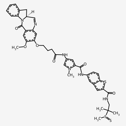 COc1cc2c(cc1OCCCC(=O)Nc1cc(C(=O)Nc3ccc4sc(C(=O)NCC(C)(C)S(C)=S)cc4c3)n(C)c1)N=C[C@@H]1Cc3ccccc3N1C2=O